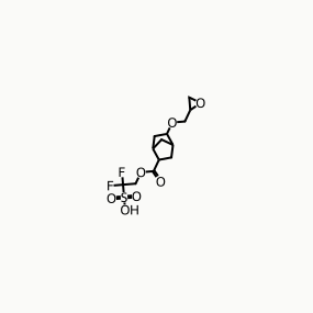 O=C(OCC(F)(F)S(=O)(=O)O)C1CC2CC1CC2OCC1CO1